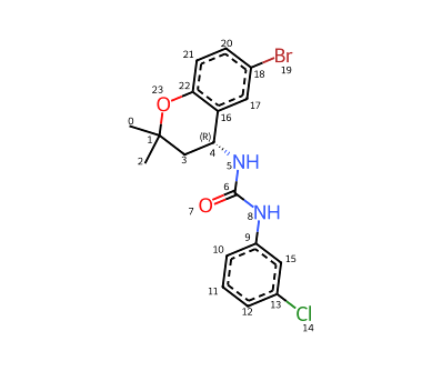 CC1(C)C[C@@H](NC(=O)Nc2cccc(Cl)c2)c2cc(Br)ccc2O1